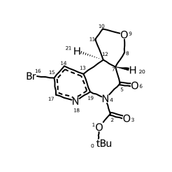 CC(C)(C)OC(=O)N1C(=O)[C@H]2COCC[C@@H]2c2cc(Br)cnc21